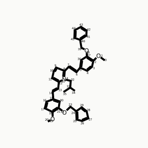 COc1ccc(/C=C/c2cccc(/C=C/c3ccc(OC)c(OCc4ccccc4)c3)[n+]2CC(C)C)cc1OCc1ccccc1